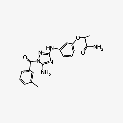 Cc1cccc(C(=O)n2nc(Nc3cccc(OC(C)C(N)=O)c3)nc2N)c1